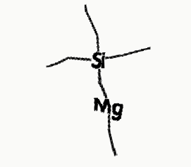 [CH3][Mg][Si](C)(C)C